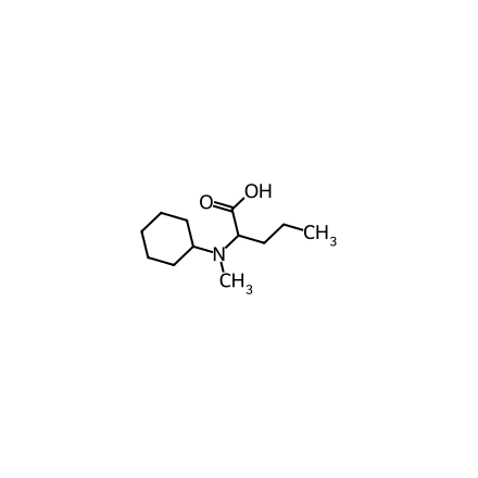 CCCC(C(=O)O)N(C)C1CCCCC1